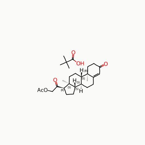 CC(=O)OCC(=O)[C@@H]1CC[C@H]2[C@@H]3CCC4=CC(=O)CC[C@]4(C)[C@H]3CC[C@]12C.CC(C)(C)C(=O)O